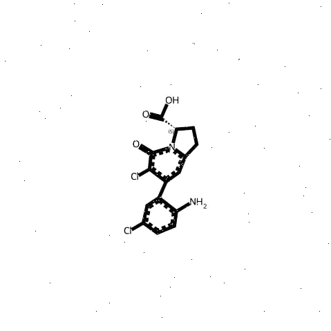 Nc1ccc(Cl)cc1-c1cc2n(c(=O)c1Cl)[C@H](C(=O)O)CC2